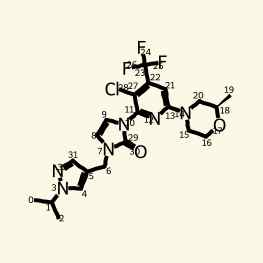 CC(C)n1cc(Cn2ccn(-c3nc(N4CCO[C@H](C)C4)cc(C(F)(F)F)c3Cl)c2=O)cn1